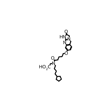 O=C(O)CN(CCCCC1CCCC1)C(=O)CCCCOc1ccc2c(c1)N=C1NC(=O)CN1C2